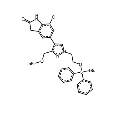 CCCOCc1nn(CCO[Si](c2ccccc2)(c2ccccc2)C(C)(C)C)cc1-c1cc(Cl)c2c(c1)CC(=O)N2